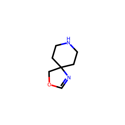 C1=NC2(CCNCC2)CO1